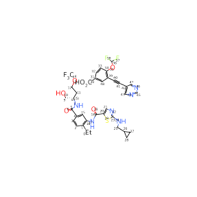 CCc1ccc(C(=O)N[C@H](CO)CCOC(F)(F)F)cc1NC(=O)c1cnc(NCC2CC2)s1.O=C(O)c1ccc(OC(F)F)c(C#Cc2cncnc2)c1